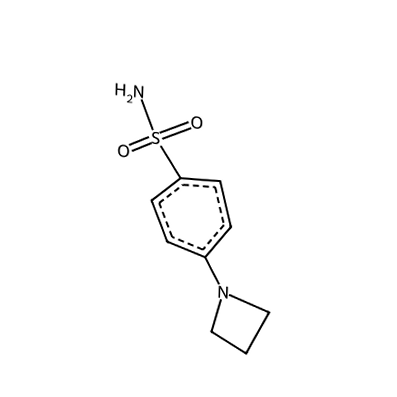 NS(=O)(=O)c1ccc(N2CCC2)cc1